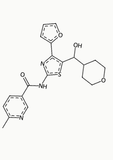 Cc1ccc(C(=O)Nc2nc(-c3ccco3)c(C(O)C3CCOCC3)s2)cn1